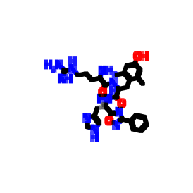 Cc1cc(O)cc(C)c1CC(NC(=O)C(N)CCCNC(=N)N)C(=O)N[C@@H](Cc1c[nH]cn1)c1nc(-c2ccccc2)no1